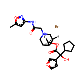 Cc1cc(NC(=O)C[N+]23CCC(CC2)[C@@H](OC(=O)C(O)(c2ccoc2)C2CCCC2)C3)no1.[Br-]